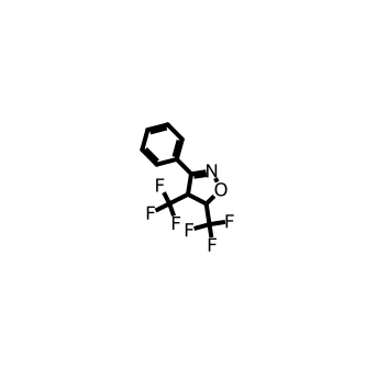 FC(F)(F)C1ON=C(c2ccccc2)C1C(F)(F)F